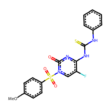 COc1ccc(S(=O)(=O)n2cc(F)c(NC(=S)Nc3ccccc3)nc2=O)cc1